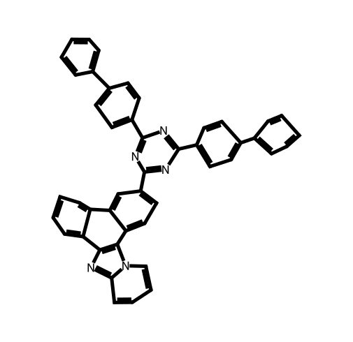 c1ccc(-c2ccc(-c3nc(-c4ccc(-c5ccccc5)cc4)nc(-c4ccc5c(c4)c4ccccc4c4nc6ccccn6c54)n3)cc2)cc1